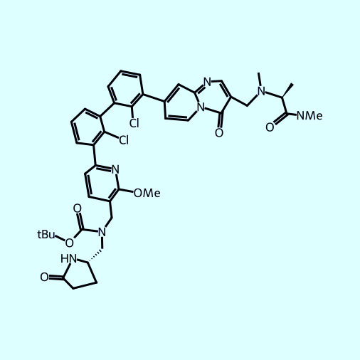 CNC(=O)[C@H](C)N(C)Cc1cnc2cc(-c3cccc(-c4cccc(-c5ccc(CN(C[C@@H]6CCC(=O)N6)C(=O)OC(C)(C)C)c(OC)n5)c4Cl)c3Cl)ccn2c1=O